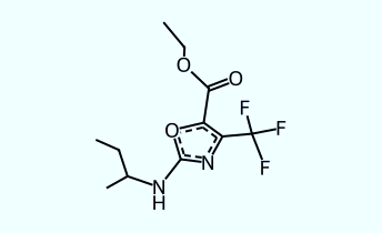 CCOC(=O)c1oc(NC(C)CC)nc1C(F)(F)F